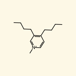 CCCCc1cc[n+](C)cc1CCCC